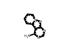 Nc1ncnc2nn3ccccc3c12